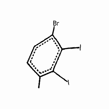 Cc1ccc(Br)c(I)c1I